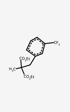 CCOC(=O)C(C)(Cc1cccc(C(F)(F)F)c1)C(=O)OCC